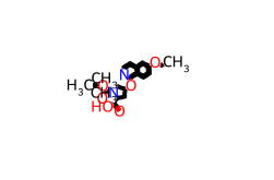 CCOc1ccc2c(OC3C[C@@H](C(=O)O)N(C(=O)OC(C)(C)C)C3)nccc2c1